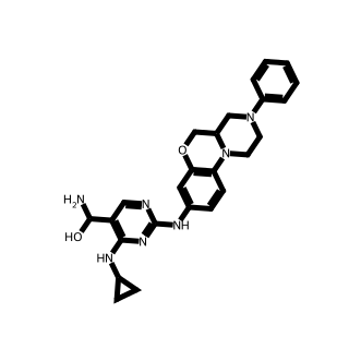 NC(O)c1cnc(Nc2ccc3c(c2)OCC2CN(c4ccccc4)CCN32)nc1NC1CC1